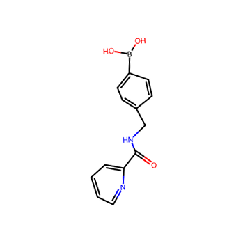 O=C(NCc1ccc(B(O)O)cc1)c1ccccn1